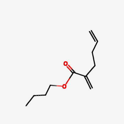 C=CCCC(=C)C(=O)OCCCC